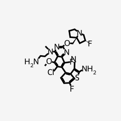 COc1c(Cl)c(-c2ccc(F)c3sc(N)c(C#N)c23)c(F)c2nc(OC[C@@]34CCCN3C[C@H](F)C4)nc(N(C)CCN)c12